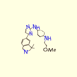 COCCNC1CCC(Nc2nccc(-c3ccc4c(c3)C(C)(C)CN=C4)n2)CC1